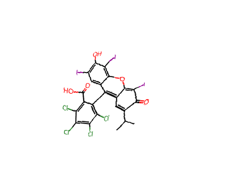 CC(C)c1cc2c(-c3c(Cl)c(Cl)c(Cl)c(Cl)c3C(=O)O)c3cc(I)c(O)c(I)c3oc-2c(I)c1=O